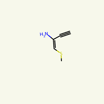 C#C/C(N)=C\SC